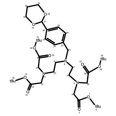 CC(C)(C)OC(=O)CN(CCN(CCN(CC(=O)OC(C)(C)C)CC(=O)OC(C)(C)C)Cc1ccc(C2OCCCO2)cc1)CC(=O)OC(C)(C)C